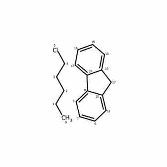 CCCCCCl.c1ccc2c(c1)Cc1ccccc1-2